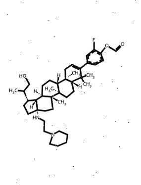 CC(CO)[C@@H]1CC[C@]2(NCCN3CCCCC3)CC[C@]3(C)[C@H](CC[C@@H]4[C@@]5(C)CC=C(c6ccc(OC=O)c(F)c6)C(C)(C)[C@@H]5CC[C@]43C)[C@@H]12